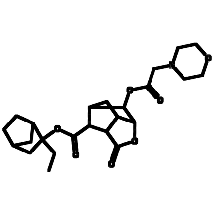 CCC1(OC(=O)C2C3CC4C(OC(=O)C42)C3OC(=O)CN2CCOCC2)CC2CCC1C2